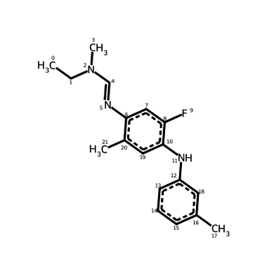 CCN(C)C=Nc1cc(F)c(Nc2cccc(C)c2)cc1C